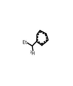 [2H]C(CC)c1ccccc1